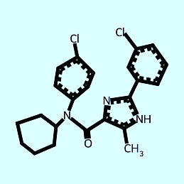 Cc1[nH]c(-c2cccc(Cl)c2)nc1C(=O)N(c1ccc(Cl)cc1)C1CCCCC1